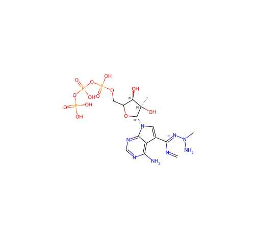 C=N/C(=N\N(C)N)c1cn([C@@H]2OC(COP(=O)(O)OP(=O)(O)OP(=O)(O)O)[C@@H](O)[C@@]2(C)O)c2ncnc(N)c12